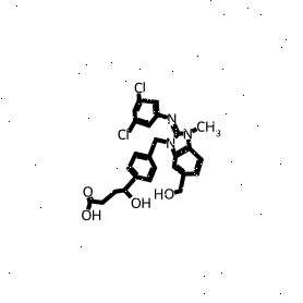 Cn1/c(=N/c2cc(Cl)cc(Cl)c2)n(Cc2ccc(C(O)CCC(=O)O)cc2)c2cc(CO)ccc21